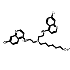 CCCCCCCCCCCCCCCCN(CCNc1ccnc2cc(Cl)ccc12)CCNc1ccnc2cc(Cl)ccc12